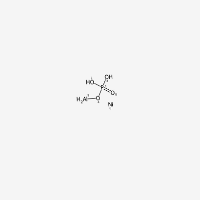 O=P(O)(O)[O][AlH2].[Ni]